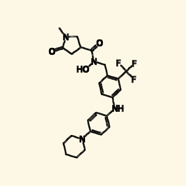 CN1CC(C(=O)N(O)Cc2ccc(Nc3ccc(N4CCCCC4)cc3)cc2C(F)(F)F)CC1=O